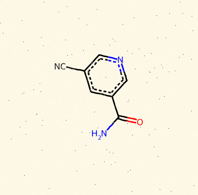 N#Cc1cncc(C(N)=O)c1